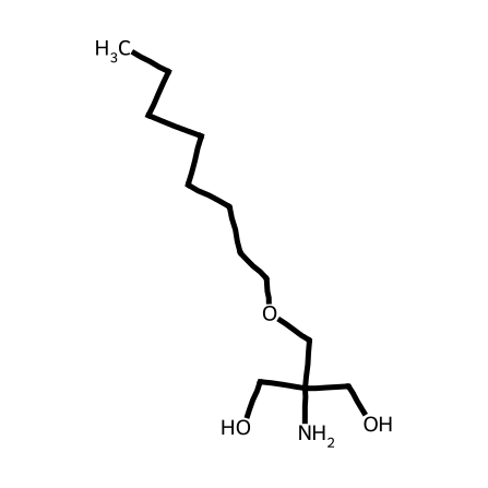 CCCCCCCCOCC(N)(CO)CO